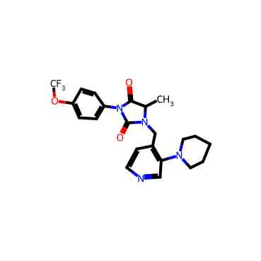 CC1C(=O)N(c2ccc(OC(F)(F)F)cc2)C(=O)N1Cc1ccncc1N1CCCCC1